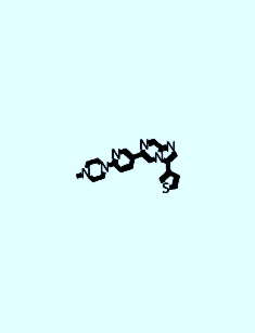 CN1CCN(c2ccc(-c3cn4c(-c5ccsc5)cnc4cn3)cn2)CC1